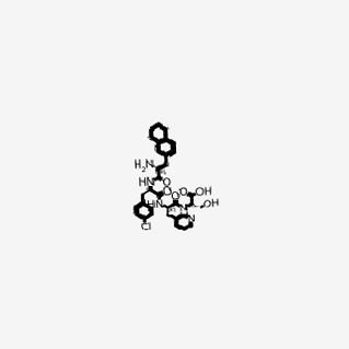 N[C@H](Cc1ccc2ccccc2c1)C(=O)N[C@H](Cc1ccc(Cl)cc1)C(=O)N[C@H](Cc1cccnc1)C(=O)N[C@@H](CO)C(=O)O